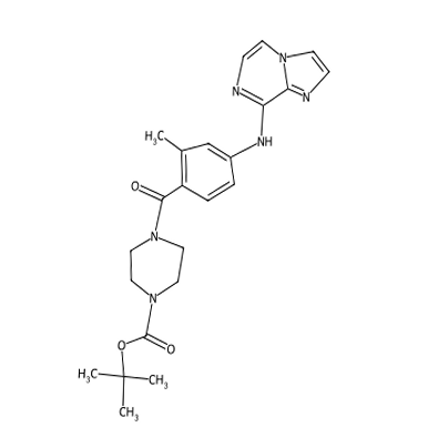 Cc1cc(Nc2nccn3ccnc23)ccc1C(=O)N1CCN(C(=O)OC(C)(C)C)CC1